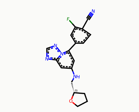 N#Cc1ccc(-c2cc(NC[C@@H]3CCCO3)cc3ncnn23)cc1F